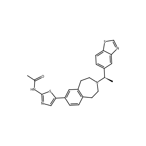 CC(=O)Nc1ncc(-c2ccc3c(c2)CCN([C@H](C)c2ccc4scnc4c2)CC3)s1